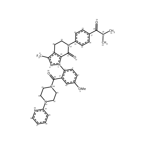 COc1ccc(-n2nc(C(F)(F)F)c3c2C(=O)N(c2ccc(C(=O)N(C)C)cc2)CC3)c(C(=O)N2CCN(c3ccccn3)CC2)c1